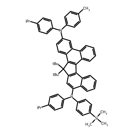 Cc1ccc(N(c2ccc(C(C)C)cc2)c2ccc3c4c(c5ccccc5c3c2)-c2c(cc(N(c3ccc(C(C)C)cc3)c3ccc([Si](C)(C)C)cc3)c3ccccc23)C4(C(C)(C)C)C(C)(C)C)cc1